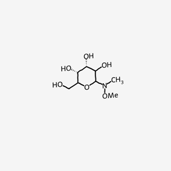 CON(C)C1OC(CO)[C@H](O)[C@H](O)C1O